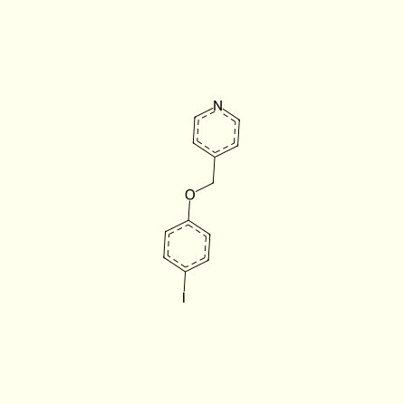 Ic1ccc(OCc2ccncc2)cc1